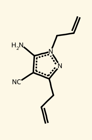 C=CCc1nn(CC=C)c(N)c1C#N